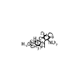 Cc1c(Nc2ccc([Si](C)(C)C)cc2F)c([N+](=O)[O-])c2n(c1=O)CCS2